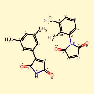 Cc1cc(C)cc(C2=CC(=O)NC2=O)c1.Cc1cccc(N2C(=O)C=CC2=O)c1C